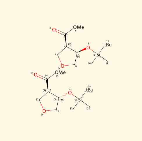 COC(=O)[C@@H]1COC[C@@H]1O[Si](C)(C)C(C)(C)C.COC(=O)[C@@H]1COC[C@H]1O[Si](C)(C)C(C)(C)C